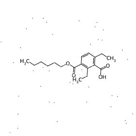 CCCCCCOC(=O)c1ccc(CC)c(C(=O)O)c1CC